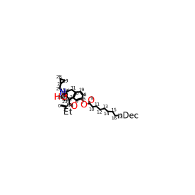 C=C(CC)[C@@H]1Oc2c(OC(=O)CCCCCCCCCCCCCCCCC)ccc3c2[C@@]12CCN(CC1CC1)C(C3)[C@@]2(C)O